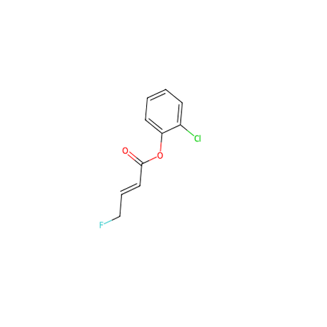 O=C(C=CCF)Oc1ccccc1Cl